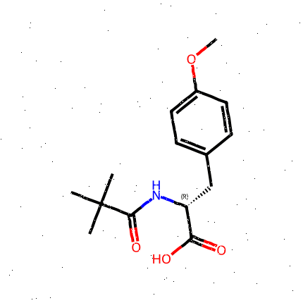 COc1ccc(C[C@@H](NC(=O)C(C)(C)C)C(=O)O)cc1